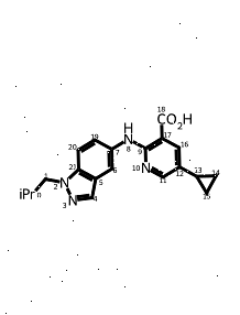 CC(C)Cn1ncc2cc(Nc3ncc(C4CC4)cc3C(=O)O)ccc21